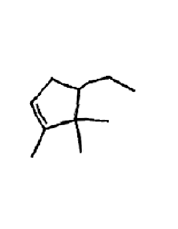 CCC1CC=C(C)C1(C)C